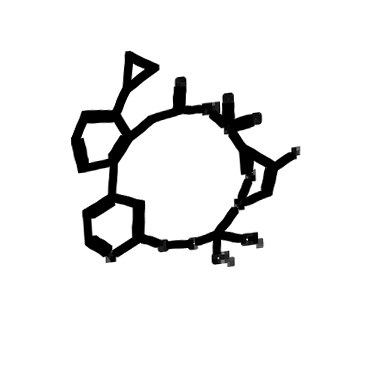 CC1(C)COc2cc(ccn2)-c2cccc(C3CC3)c2CC(=O)NS(=O)(=O)c2nn1cc2F